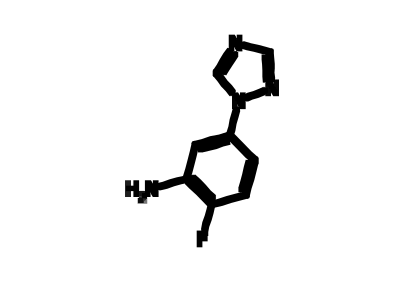 Nc1cc(-n2cncn2)ccc1F